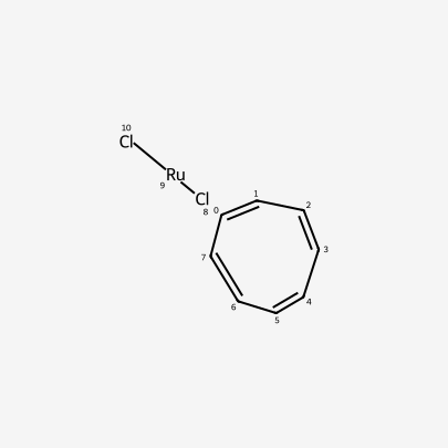 C1=CC=CC=CC=C1.[Cl][Ru][Cl]